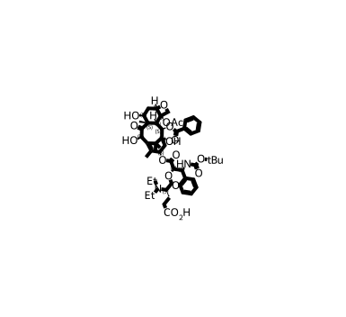 CCN(CC)[C@@H](CCC(=O)O)C(=O)O[C@@H](C(=O)O[C@H]1C[C@@]2(O)[C@@H](OC(=O)c3ccccc3)[C@@H]3[C@]4(OC(C)=O)CO[C@@H]4C[C@H](O)[C@@]3(C)C(=O)[C@H](O)C(=C1C)C2(C)C)[C@@H](NC(=O)OC(C)(C)C)c1ccccc1